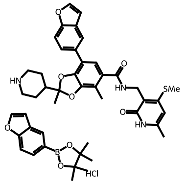 CC1(C)OB(c2ccc3occc3c2)OC1(C)C.CSc1cc(C)[nH]c(=O)c1CNC(=O)c1cc(-c2ccc3occc3c2)c2c(c1C)OC(C)(C1CCNCC1)O2.Cl